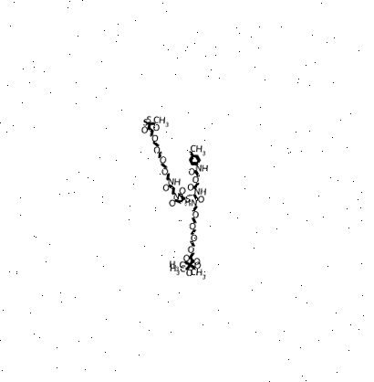 CCc1ccc(NC(=O)COCC(=O)N[C@@H](CSC2CC(=O)N(CCC(=O)NCCOCCOCCOCCOCCC(=O)C3(C(C)=O)SS3)C2=O)C(=O)NCCOCCOCCOCCOCCC(=O)C(C(C)=O)(C(C)=O)C(C)=O)cc1